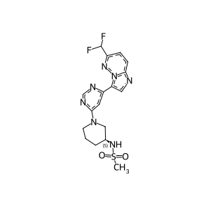 CS(=O)(=O)N[C@H]1CCCN(c2cc(-c3cnc4ccc(C(F)F)nn34)ncn2)C1